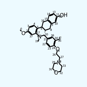 COc1ccc(C2CCc3cc(O)ccc3C2)c(N(C)Cc2ccc(OCCN3CCOCC3)c(F)c2)c1